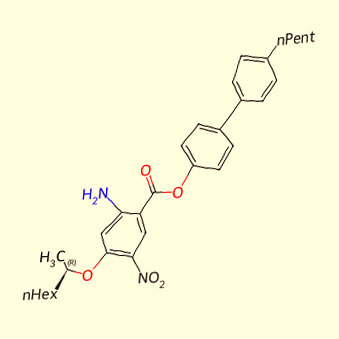 CCCCCC[C@@H](C)Oc1cc(N)c(C(=O)Oc2ccc(-c3ccc(CCCCC)cc3)cc2)cc1[N+](=O)[O-]